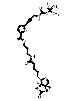 CC(C)(C)OC(=O)NCC#Cc1ccc(C(=O)NCCCNC(=O)CCCC[C@@H]2SC[C@@H]3NC(=O)N[C@@H]32)o1